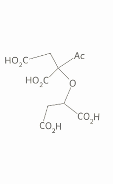 CC(=O)C(CC(=O)O)(OC(CC(=O)O)C(=O)O)C(=O)O